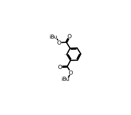 CCC(C)OC(=O)c1[c]c(C(=O)OC(C)CC)ccc1